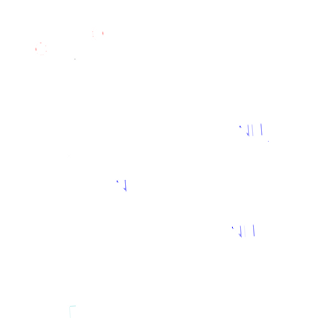 COC(=O)/C=C/c1c(C(C)C)n(-c2ccc(F)cc2)c2cc(C=N)c(N)cc12